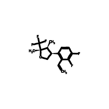 C=Cc1c([C@@H]2CO[C@@](C)(C(F)(F)F)[C@@H]2C)ccc(F)c1F